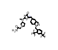 CN(C1=NC(=O)/C(=C/c2ccc3c(cnn3Cc3ccc(C(F)(F)F)cc3C(F)(F)F)c2)S1)[C@@H]1CCN(CC(N)=O)C1